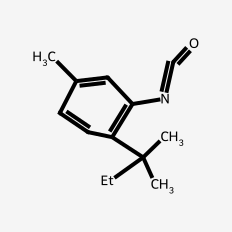 CCC(C)(C)c1ccc(C)cc1N=C=O